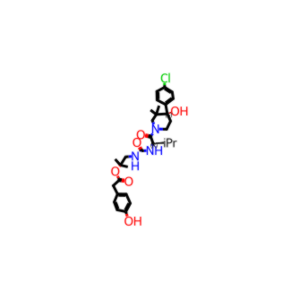 CC(C)[C@@H](NC(=O)NCC(C)(C)OC(=O)Cc1ccc(O)cc1)C(=O)N1CC[C@](O)(c2ccc(Cl)cc2)C(C)(C)C1